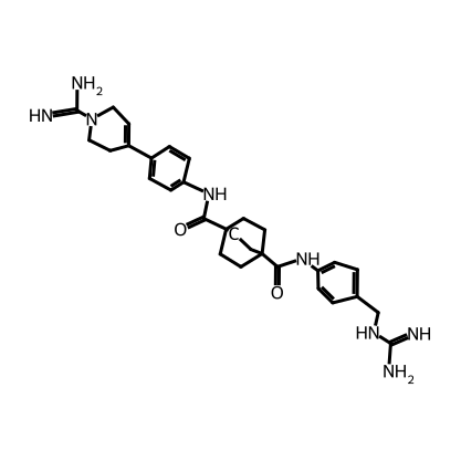 N=C(N)NCc1ccc(NC(=O)C23CCC(C(=O)Nc4ccc(C5=CCN(C(=N)N)CC5)cc4)(CC2)CC3)cc1